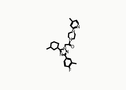 Cc1ccnc(N2CCN(C(=O)Cn3nc(-c4ccc(F)c(C)c4)nc3C3CCCC(C)C3)CC2)c1